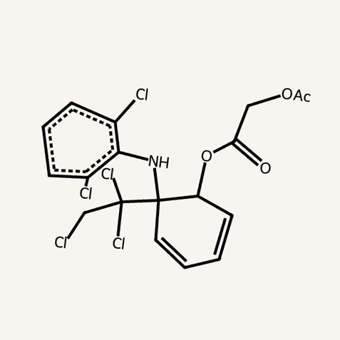 CC(=O)OCC(=O)OC1C=CC=CC1(Nc1c(Cl)cccc1Cl)C(Cl)(Cl)CCl